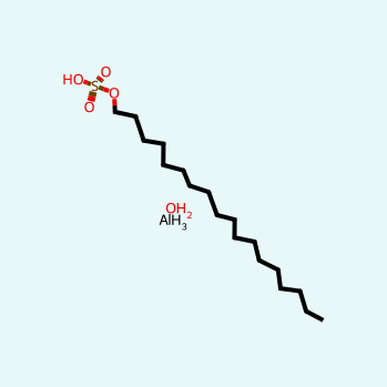 CCCCCCCCCCCCCCCCCCOS(=O)(=O)O.O.[AlH3]